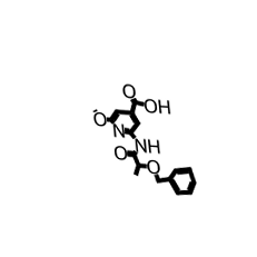 COc1cc(C(=O)O)cc(NC(=O)C(C)OCc2ccccc2)n1